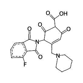 O=C(O)C1C(=O)C=C(CN2CCCCC2)C(N2C(=O)c3cccc(F)c3C2=O)C1=O